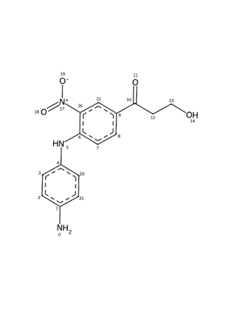 Nc1ccc(Nc2ccc(C(=O)CCO)cc2[N+](=O)[O-])cc1